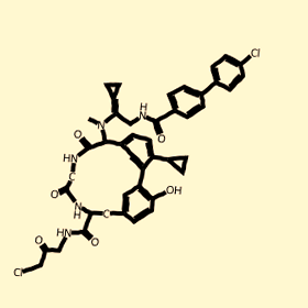 CN(C(CNC(=O)c1ccc(-c2ccc(Cl)cc2)cc1)=C1CC1)C1C(=O)NCC(=O)NC(C(=O)NCC(=O)CCl)Cc2ccc(O)c(c2)-c2cc1ccc2C1CC1